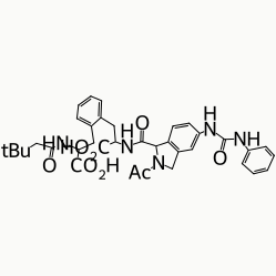 CC(=O)N1Cc2cc(NC(=O)Nc3ccccc3)ccc2C1C(=O)NC(Cc1ccccc1CC(NC(=O)CC(C)(C)C)C(=O)O)C(=O)O